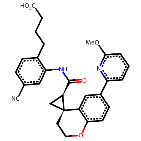 COc1cccc(-c2ccc3c(c2)[C@]2(CCO3)C[C@H]2C(=O)Nc2cc(C#N)ccc2CCCC(=O)O)n1